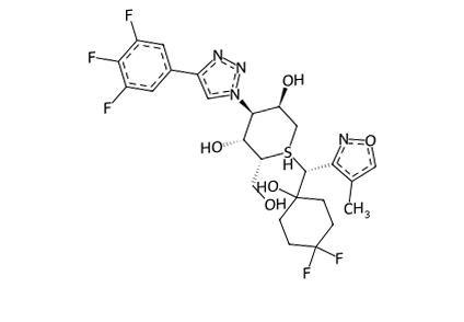 Cc1conc1[C@@H]([SH]1C[C@H](O)[C@H](n2cc(-c3cc(F)c(F)c(F)c3)nn2)[C@@H](O)[C@H]1CO)C1(O)CCC(F)(F)CC1